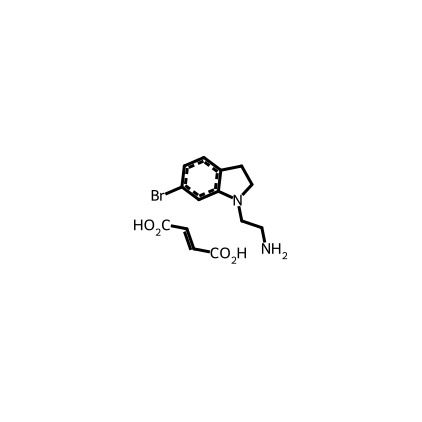 NCCN1CCc2ccc(Br)cc21.O=C(O)C=CC(=O)O